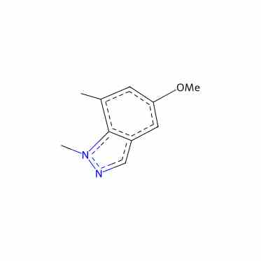 COc1cc(C)c2c(cnn2C)c1